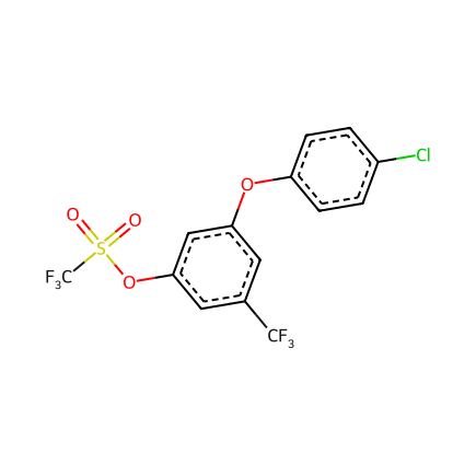 O=S(=O)(Oc1cc(Oc2ccc(Cl)cc2)cc(C(F)(F)F)c1)C(F)(F)F